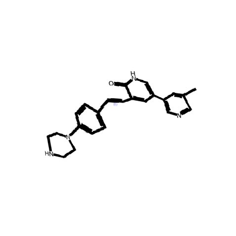 Cc1cncc(-c2c[nH]c(=O)c(/C=C/c3ccc(N4CCNCC4)cc3)c2)c1